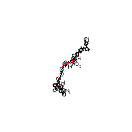 CC1(C)CCC(CN2CCN(c3ccc(C(=O)NS(=O)(=O)c4ccc(NCC5CCN(CCOCCOCCOCCNc6cccc7c6C(=O)N(C6CCC(=O)NC6=O)C7=O)CC5)c([N+](=O)[O-])c4)cc3)CC2)=C(c2ccc(Cl)cc2)C1